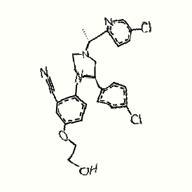 C[C@H](c1ccc(Cl)cn1)N1CCN(c2ccc(OCCO)cc2C#N)[C@H](c2ccc(Cl)cc2)C1